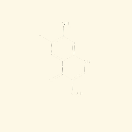 Nc1cc2[nH]cc(C(=O)O)c(=O)c2cc1F